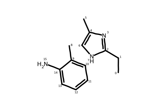 CCc1nc(C)c[nH]1.Cc1ccccc1N